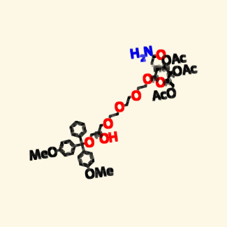 COc1ccc(C(OC[C@H](O)COCCOCCOCCO[C@@H]2O[C@H](COC(C)=O)[C@H](OC(C)=O)[C@H](OC(C)=O)[C@H]2CC(N)=O)(c2ccccc2)c2ccc(OC)cc2)cc1